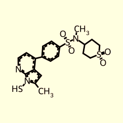 Cc1cc2c(-c3ccc(S(=O)(=O)N(C)C4CCS(=O)(=O)CC4)cc3)ccnc2n1S